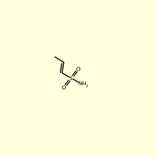 CC=CS(N)(=O)=O